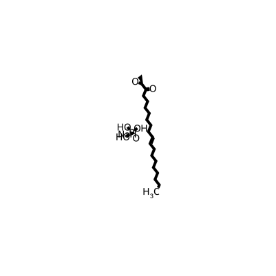 CCCCCCCCC=CCCCCCCCC(=O)C1CO1.O=P(O)(O)O.[NaH]